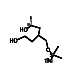 C[C@@H](O)CC(CCO)CO[Si](C)(C)C(C)(C)C